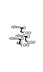 CCCCCCCCCCC(=O)CC(=O)[O-].CCCCCCCCCCC(=O)CC(=O)[O-].CCCCCCCCCCC(=O)CC(=O)[O-].[Al+3]